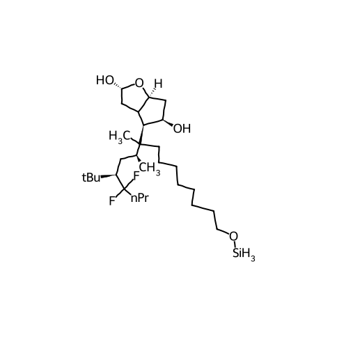 CCCC(F)(F)[C@H](C[C@H](C)C(C)(CCCCCCCCO[SiH3])[C@H]1C2C[C@H](O)O[C@H]2C[C@H]1O)C(C)(C)C